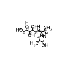 CC(CO)Cn1ncc(N)c1NCC(O)C(O)C(O)CO